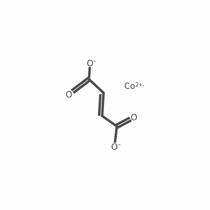 O=C([O-])/C=C/C(=O)[O-].[Co+2]